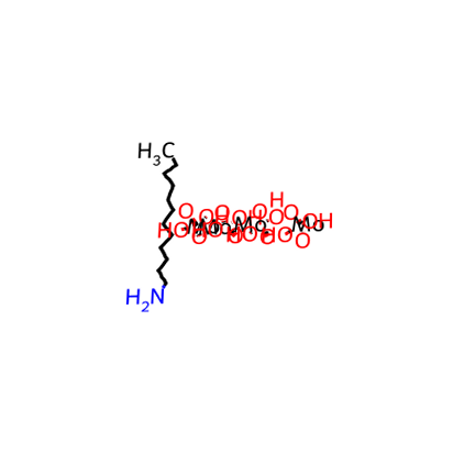 CCCCCCCCCCCCN.[O]=[Mo](=[O])([OH])[OH].[O]=[Mo](=[O])([OH])[OH].[O]=[Mo](=[O])([OH])[OH].[O]=[Mo](=[O])([OH])[OH]